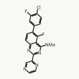 CNc1nc(-c2cnccn2)nc2ccc(-c3ccc(Cl)c(F)c3)c(F)c12